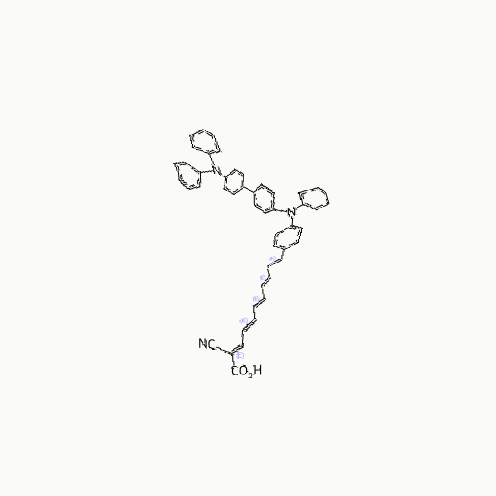 N#C\C(=C/C=C/C=C/C=C/C=C/c1ccc(N(c2ccccc2)c2ccc(-c3ccc(N(c4ccccc4)c4ccccc4)cc3)cc2)cc1)C(=O)O